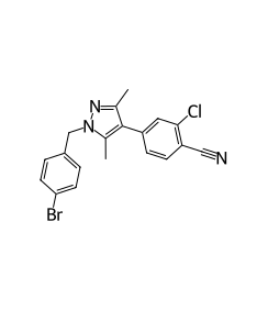 Cc1nn(Cc2ccc(Br)cc2)c(C)c1-c1ccc(C#N)c(Cl)c1